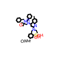 COc1ccc2c(c1)S(O)(O)CCN(c1cc(NCC3(N(Cc4ccccc4)Cc4ccccc4)COC3)c3cc(C)ccc3n1)C2